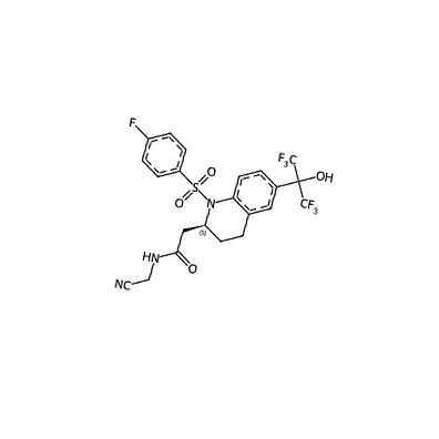 N#CCNC(=O)C[C@@H]1CCc2cc(C(O)(C(F)(F)F)C(F)(F)F)ccc2N1S(=O)(=O)c1ccc(F)cc1